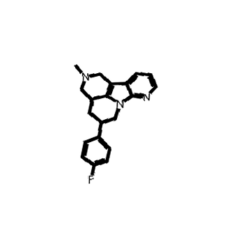 CN1Cc2c3n(c4ncccc24)CC(c2ccc(F)cc2)CC3(C)C1